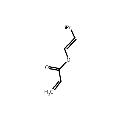 C=CC(=O)OC=CC(C)C